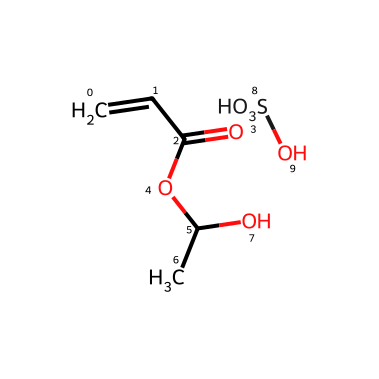 C=CC(=O)OC(C)O.O=S(=O)(O)O